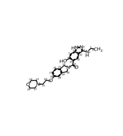 CCNc1n[nH]c2cc(O)c(C(=O)N3Cc4ccc(OCCN5CCOCC5)cc4C3)cc12